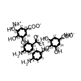 CC(=O)c1ccc(N)cc1.CCC(=O)c1ccc(N)cc1.O=C([O-])c1cc(O)c(O)c(O)c1.O=C([O-])c1cc(O)c(O)c(O)c1.[Na+].[Na+]